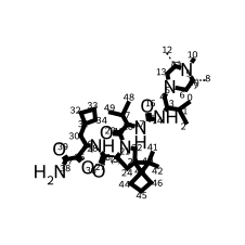 CC(C)C(CN1C[C@@H](C)N(C)[C@@H](C)C1)NC(=O)NC(C(=O)N1CC2(C[C@H]1C(=O)NC(CC1CCC1)C(=O)C(N)=O)C(C)(C)C21CCC1)C(C)C